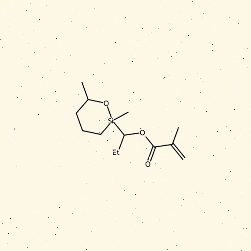 C=C(C)C(=O)OC(CC)[Si]1(C)CCCC(C)O1